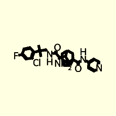 CC(C)(CNC(=O)C(N)C1C2CC3CC1C(C(=O)Nc1ccncc1)(C3)C2)c1ccc(F)cc1Cl